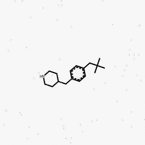 CC(C)(C)Cc1ccc(CC2CCNCC2)cc1